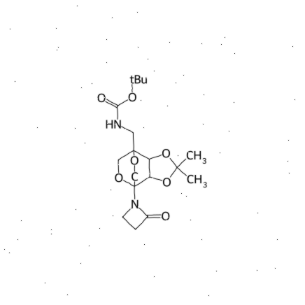 CC(C)(C)OC(=O)NCC12COC(N3CCC3=O)(CO1)C1OC(C)(C)OC12